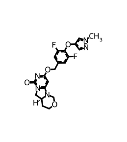 Cn1cc(Oc2c(F)cc(COc3cc4n(c(=O)n3)C[C@@H]3CCOCN43)cc2F)cn1